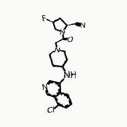 N#C[C@@H]1C[C@H](F)CN1C(=O)CN1CCC(Nc2cncc3c(Cl)cccc23)CC1